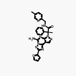 Cc1ccc(CNC(=O)[C@@](C)(c2ccccc2)n2ncc3c2nc(N)n2nc(-c4ccco4)nc32)nc1